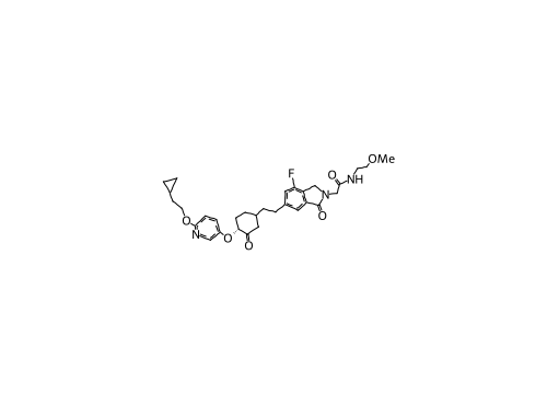 COCCNC(=O)CN1Cc2c(F)cc(CCC3CC[C@@H](Oc4ccc(OCCC5CC5)nc4)C(=O)C3)cc2C1=O